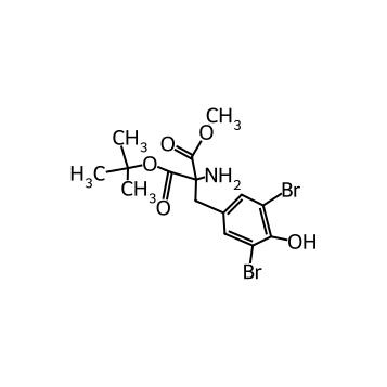 COC(=O)C(N)(Cc1cc(Br)c(O)c(Br)c1)C(=O)OC(C)(C)C